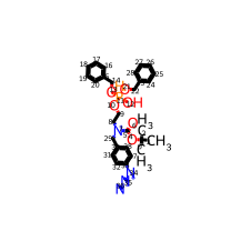 CC(C)(C)OC(=O)N(CCO[PH](O)(OCc1ccccc1)OCc1ccccc1)Cc1ccc(N=[N+]=[N-])cc1